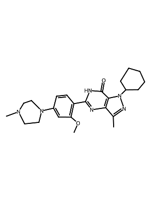 COc1cc(N2CCN(C)CC2)ccc1-c1nc2c(C)nn(C3CCCCC3)c2c(=O)[nH]1